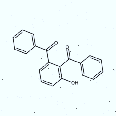 O=C(c1ccccc1)c1cccc(O)c1C(=O)c1ccccc1